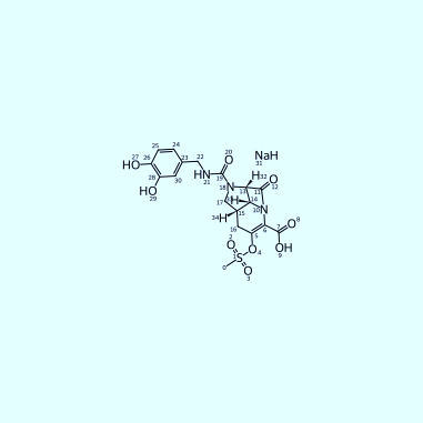 CS(=O)(=O)OC1=C(C(=O)O)N2C(=O)[C@@H]3[C@H]2[C@H](C1)CN3C(=O)NCc1ccc(O)c(O)c1.[NaH]